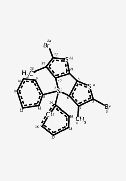 Cc1c(Br)sc2c1[Si](c1ccccc1)(c1ccccc1)c1c-2sc(Br)c1C